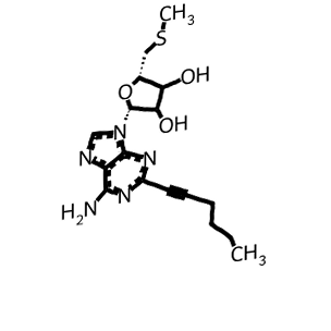 CCCCC#Cc1nc(N)c2ncn([C@@H]3O[C@H](CSC)C(O)C3O)c2n1